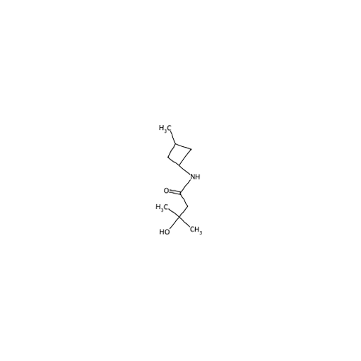 CC1CC(NC(=O)CC(C)(C)O)C1